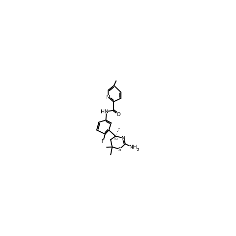 Cc1ccc(C(=O)Nc2ccc(F)c([C@]3(C)CC(C)(C)SC(N)=N3)c2)nc1